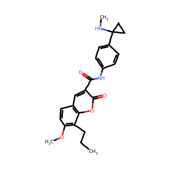 CCCc1c(OC)ccc2cc(C(=O)Nc3ccc(C4(NC)CC4)cc3)c(=O)oc12